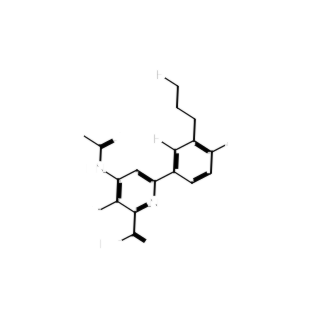 CC(=O)Nc1cc(-c2ccc(Cl)c(CCCF)c2F)nc(C(=O)O)c1Cl